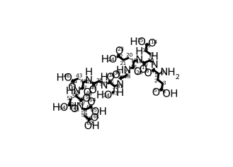 N[C@@H](CCC(=O)O)C(=O)N[C@@H](CCC(=O)O)C(=O)N[C@@H](CCC(=O)O)C(=O)NCC(=O)N[C@@H](CO)C(=O)NCC(=O)N[C@@H](CC(=O)O)C(=O)N[C@@H](CC(=O)O)C(=O)N[C@@H](CC(=O)O)C(=O)O